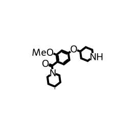 COc1cc(OC2CCNCC2)ccc1C(=O)N1CC[CH]CC1